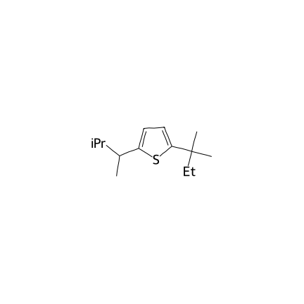 CCC(C)(C)c1ccc(C(C)C(C)C)s1